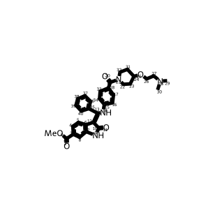 COC(=O)c1ccc2c(c1)NC(=O)/C2=C(\Nc1ccc(C(=O)N2CCC(OCCN(C)C)CC2)cc1)c1ccccc1